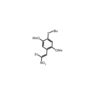 CCCCSc1cc(OC)c(/C=C(\CC)[N+](=O)[O-])cc1OC